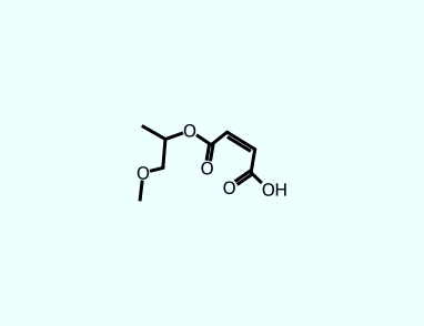 COCC(C)OC(=O)/C=C\C(=O)O